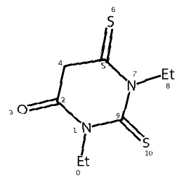 CCN1C(=O)CC(=S)N(CC)C1=S